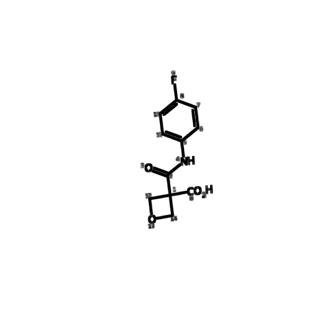 O=C(O)C1(C(=O)Nc2ccc(F)cc2)COC1